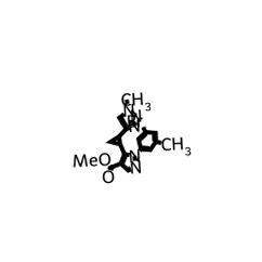 COC(=O)c1cnn(-c2cc(C)cc(Br)c2)c1C1CC1c1cn(C)nn1